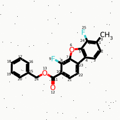 Cc1ccc2c(oc3c(F)c(C(=O)OCc4ccccc4)ccc32)c1F